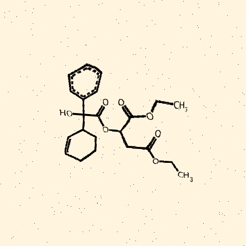 CCOC(=O)CC(OC(=O)C(O)(c1ccccc1)C1C=CCCC1)C(=O)OCC